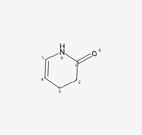 O=C1C[C]C=CN1